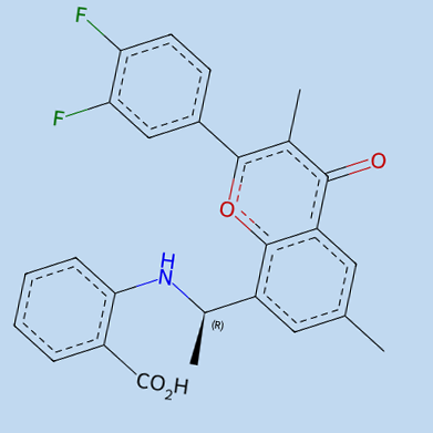 Cc1cc([C@@H](C)Nc2ccccc2C(=O)O)c2oc(-c3ccc(F)c(F)c3)c(C)c(=O)c2c1